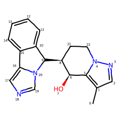 Cc1cnn2c1[C@@H](O)[C@@H](C1c3ccccc3-c3cncn31)CC2